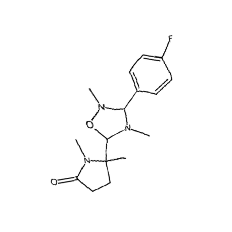 CN1OC(C2(C)CCC(=O)N2C)N(C)C1c1ccc(F)cc1